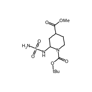 COC(=O)C1CCN(C(=O)OC(C)(C)C)C(NS(N)(=O)=O)C1